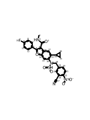 CNC(=O)c1c(-c2ccc(F)cc2)oc2cc(N(Cc3ccc([N+](=O)[O-])c(C#N)c3)[SH](=O)=O)c(C3CC3)cc12